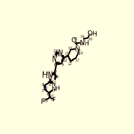 N=C(/C=C\c1ncc(-c2cc(C3CCCN(C(=O)NCCO)C3)ncn2)[nH]1)C(F)F